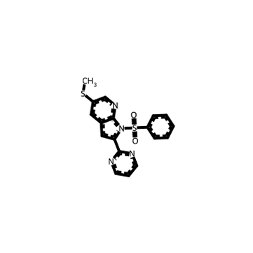 CSc1cnc2c(c1)cc(-c1ncccn1)n2S(=O)(=O)c1ccccc1